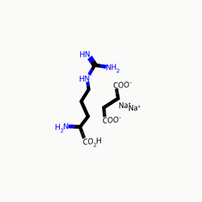 N=C(N)NCCCC(N)C(=O)O.O=C([O-])CCC(=O)[O-].[Na+].[Na+]